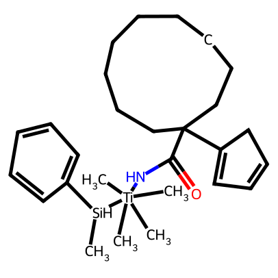 C[SiH](c1ccccc1)[Ti]([CH3])([CH3])([CH3])([CH3])[NH]C(=O)C1(C2=CC=CC2)CCCCCCCCC1